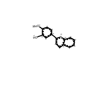 COc1ccc(-c2ccc3ccccc3n2)cc1O